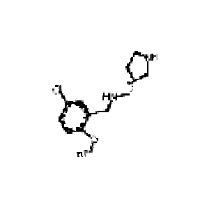 CCCOc1ccc(Cl)cc1CNC[C@@H]1CCNC1